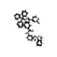 Cc1cc(-c2nn(C(c3ccccc3)(c3ccccc3)c3ccccc3)c3ccc(C(=O)N[C@@H]4CCCC(O)(Cn5ncc6ccccc65)C4)cc23)ccn1